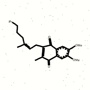 COc1cc2c(cc1OC)C(=O)C(CC=C(C)CCCC(C)C)=C(C)C2=O